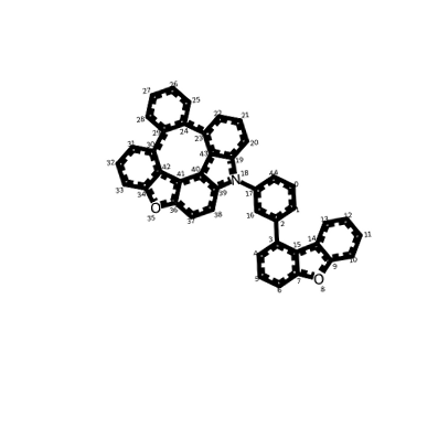 c1cc(-c2cccc3oc4ccccc4c23)cc(-n2c3cccc4c5ccccc5c5cccc6oc7ccc2c(c7c65)c43)c1